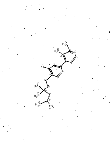 Cc1nccc(-c2cc(Cl)c(OC[C@@](C)(N)CC(C)C)cn2)c1C